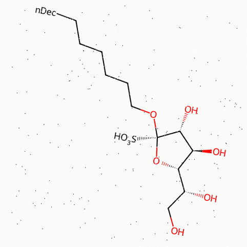 CCCCCCCCCCCCCCCCO[C@]1(S(=O)(=O)O)O[C@@H]([C@H](O)CO)[C@H](O)[C@H]1O